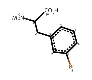 CNC(Cc1cccc(Br)c1)C(=O)O